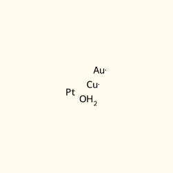 O.[Au].[Cu].[Pt]